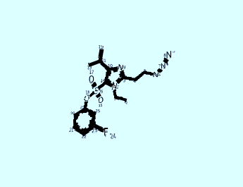 CCn1c(CCN=[N+]=[N-])nc(C(C)C)c1S(=O)(=O)Oc1cccc(F)c1